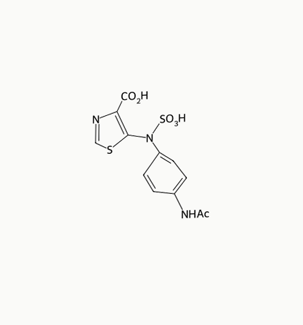 CC(=O)Nc1ccc(N(c2scnc2C(=O)O)S(=O)(=O)O)cc1